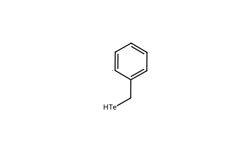 [TeH]Cc1[c]cccc1